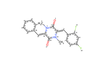 Cn1c(=O)c(=Cc2ccc(F)cc2F)n(C)c(=O)c1=Cc1ccccc1